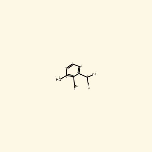 CC(C)c1c(O)cccc1C(F)F